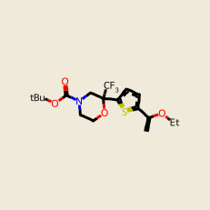 C=C(OCC)c1ccc(C2(C(F)(F)F)CN(C(=O)OC(C)(C)C)CCO2)s1